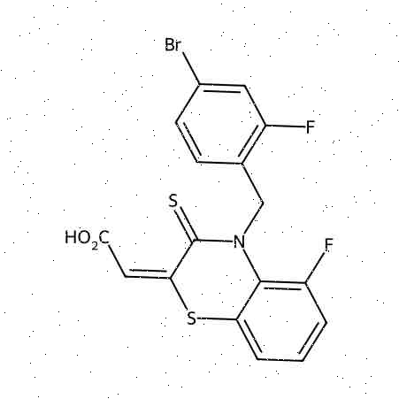 O=C(O)C=C1Sc2cccc(F)c2N(Cc2ccc(Br)cc2F)C1=S